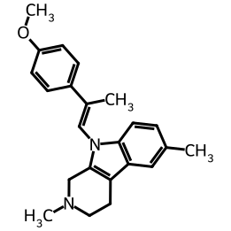 COc1ccc(C(C)=Cn2c3c(c4cc(C)ccc42)CCN(C)C3)cc1